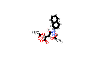 CC(=O)O[C@H](C(=O)O)[C@H](OC(C)=O)C(=O)Nc1ccc2ccccc2c1